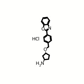 Cl.N[C@@H]1CC[C@@H](OCc2ccc(-c3nc4ccccc4o3)cc2)C1